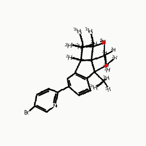 [2H]C([2H])([2H])C1([2H])c2cc(-c3ccc(Br)cn3)ccc2C(C([2H])([2H])[2H])(C([2H])([2H])[2H])C1(C([2H])([2H])[2H])C([2H])([2H])[2H]